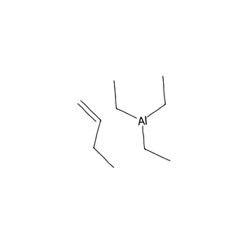 C=CCC.C[CH2][Al]([CH2]C)[CH2]C